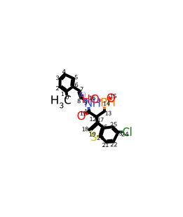 Cc1ccccc1/C=C/NC(=O)C(C[PH](=O)O)c1csc2ccc(Cl)cc12